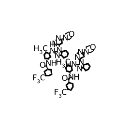 Cc1ccc(NC(=O)c2cccc(C(F)(F)F)c2)cc1Nc1nc2ccccc2n1-c1cc(N2CCOCC2)ncn1.Cc1ccc(NC(=O)c2cccc(C(F)(F)F)c2)cc1Nc1nc2ccccc2n1-c1cc(N2CCOCC2)ncn1